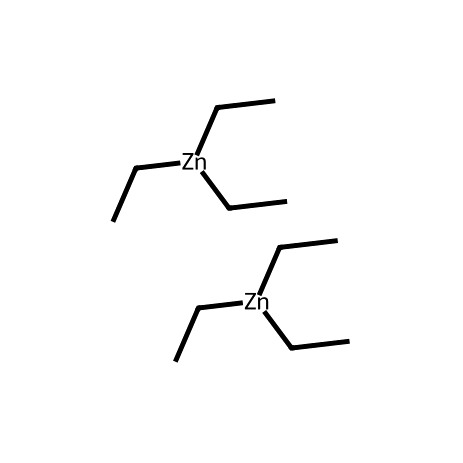 C[CH2][Zn]([CH2]C)[CH2]C.C[CH2][Zn]([CH2]C)[CH2]C